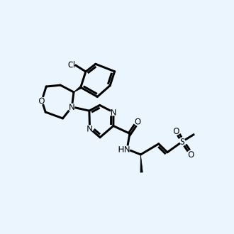 C[C@H](/C=C/S(C)(=O)=O)NC(=O)c1cnc(N2CCOCC[C@H]2c2ccccc2Cl)cn1